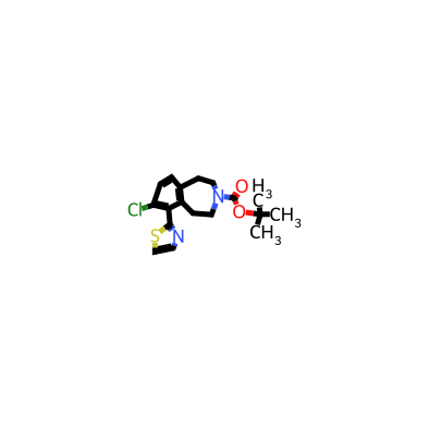 CC(C)(C)OC(=O)N1CCc2ccc(Cl)c(-c3nccs3)c2CC1